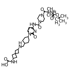 CC(C)(C)OC(=O)NC(C)(C)C(=O)N1CCN(C(=O)Nc2ccn(C3CCC(CNC4CC5(C4)CC(NC(=O)O)C5)CC3)c(=O)n2)CC1